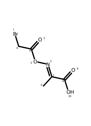 C/C(=N\OC(=O)CBr)C(=O)O